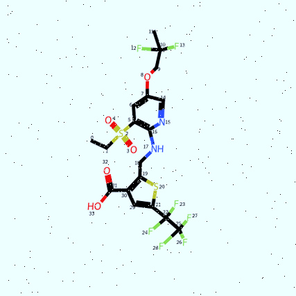 CCS(=O)(=O)c1cc(OCC(C)(F)F)cnc1NCc1sc(C(F)(F)C(F)(F)F)cc1C(=O)O